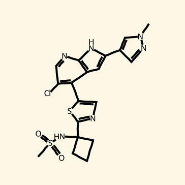 Cn1cc(-c2cc3c(-c4cnc(C5(NS(C)(=O)=O)CCC5)s4)c(Cl)cnc3[nH]2)cn1